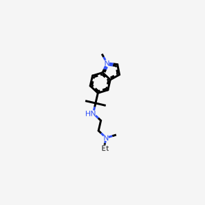 CCN(C)CCNC(C)(C)c1ccc2c(ccn2C)c1